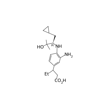 CCC(CC(=O)O)c1ccc(N[C@H](CC2CC2)C(C)(C)O)c(N)c1